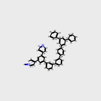 C=N/C=C\C(=C/C)c1cc(-c2ccncc2)cc(-c2cccc(-c3cccc(-c4ccc(-c5cc(-c6ccccc6)cc(-c6ccccc6)c5)cc4)c3)c2)c1